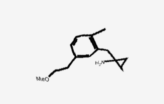 COCCc1ccc(C)c(CC2(N)CC2)c1